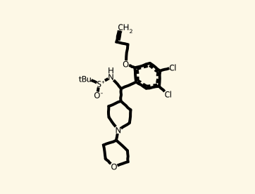 C=CCOc1cc(Cl)c(Cl)cc1C(N[S+]([O-])C(C)(C)C)C1CCN(C2CCOCC2)CC1